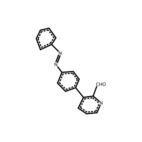 O=Cc1ncccc1-c1ccc(N=Nc2ccccc2)cc1